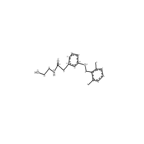 Cc1cccc(C)c1COc1cccc(CC(=O)NCCO)c1